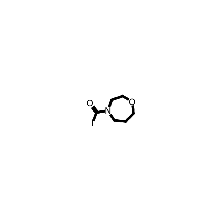 O=C(I)N1CCCOCC1